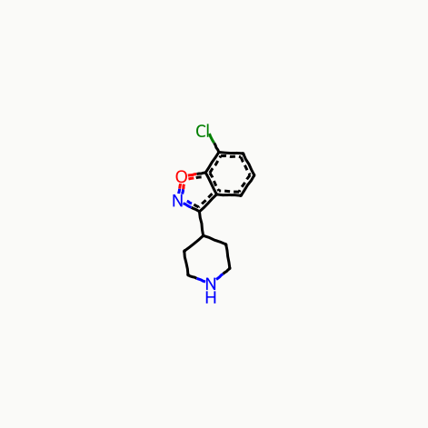 Clc1cccc2c(C3CCNCC3)noc12